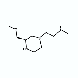 CNCCN1CCN[C@@H](COC)C1